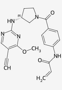 C#Cc1cnc(N[C@@H]2CCN(C(=O)c3ccc(NC(=O)C=C)cc3)C2)nc1OC